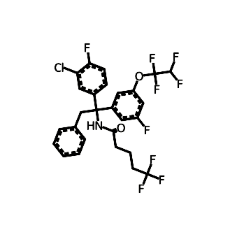 O=C(CCCC(F)(F)F)NC(Cc1ccccc1)(c1cc(F)cc(OC(F)(F)C(F)F)c1)c1ccc(F)c(Cl)c1